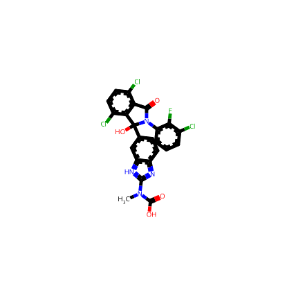 CN(C(=O)O)c1nc2ccc(C3(O)c4c(Cl)ccc(Cl)c4C(=O)N3c3cccc(Cl)c3F)cc2[nH]1